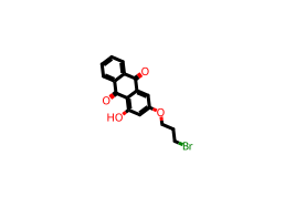 O=C1c2ccccc2C(=O)c2c(O)cc(OCCCBr)cc21